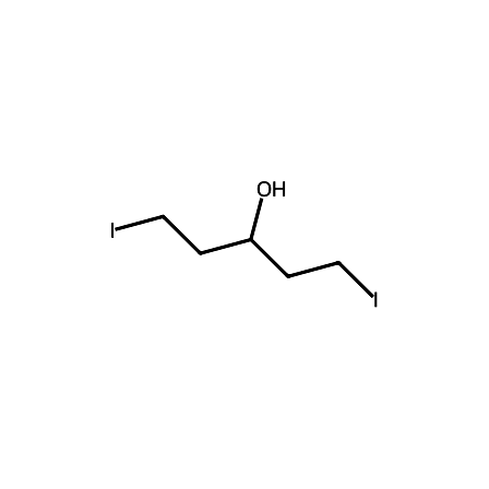 OC(CCI)CCI